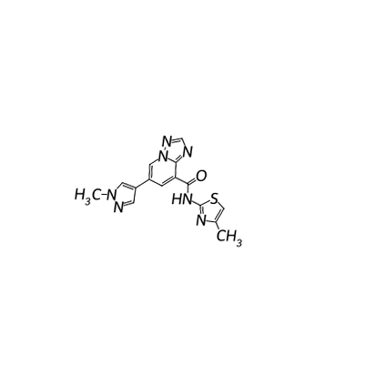 Cc1csc(NC(=O)c2cc(-c3cnn(C)c3)cn3ncnc23)n1